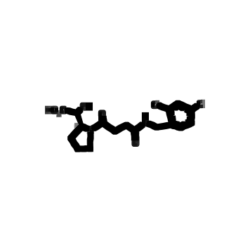 O=C(CCC(=O)N1CCC[C@H]1C(O)C(=O)O)NCc1ccc(Cl)cc1Cl